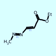 CCOC(=O)/C=C/N=N/C